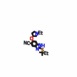 CCN1CC[C@@H](Oc2cc3[nH]c(SC(C)(C)CC)nc3cc2C#N)C1